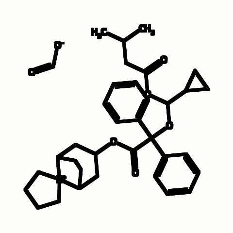 CC(C)CC(=O)OC(OC(C(=O)OC1CC2CCC(C1)[N+]21CCCC1)(c1ccccc1)c1ccccc1)C1CC1.O=C[O-]